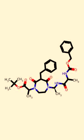 CC(NC(=O)OCc1ccccc1)C(=O)N[C@@H](C)N1CCN(C(C)C(=O)OC(C)(C)C)C(=O)C(Cc2ccccc2)C1=O